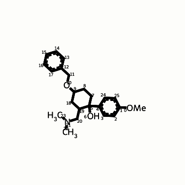 COc1ccc(C2(O)CCC(OCc3ccccc3)CC2CN(C)C)cc1